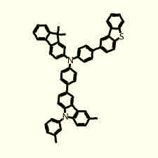 Cc1cccc(-n2c3ccc(C)cc3c3cc(-c4ccc(N(c5ccc(-c6ccc7sc8ccccc8c7c6)cc5)c5ccc6c(c5)C(C)(C)c5ccccc5-6)cc4)ccc32)c1